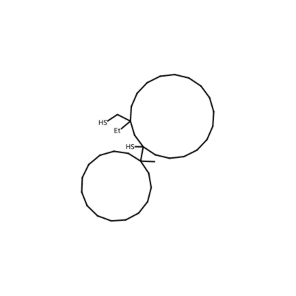 CCC1(CS)CCCCCCCCCCCCCCCC(S)(C2(C)CCCCCCCCCCCCCC2)C1